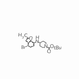 Cc1cc2c(Br)ccc(NC3CCN(C(=O)OC(C)(C)C)CC3)c2o1